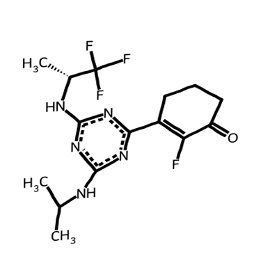 CC(C)Nc1nc(N[C@H](C)C(F)(F)F)nc(C2=C(F)C(=O)CCC2)n1